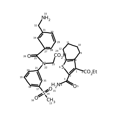 CCOC(=O)c1c(C(N)=O)sc2c1CCCC2.CS(=O)(=O)c1cccc(N(CC(=O)O)C(=O)c2cccc(CN)c2)c1